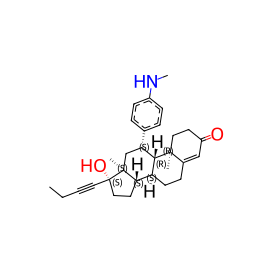 CCC#C[C@]1(O)CC[C@H]2[C@@H]3CCC4=CC(=O)CC[C@]4(C)[C@H]3[C@@H](c3ccc(NC)cc3)C[C@@]21C